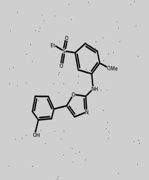 CCS(=O)(=O)c1ccc(OC)c(Nc2ncc(-c3cccc(O)c3)o2)c1